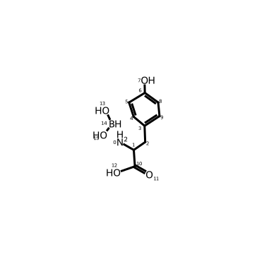 NC(Cc1ccc(O)cc1)C(=O)O.OBO